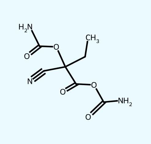 CCC(C#N)(OC(N)=O)C(=O)OC(N)=O